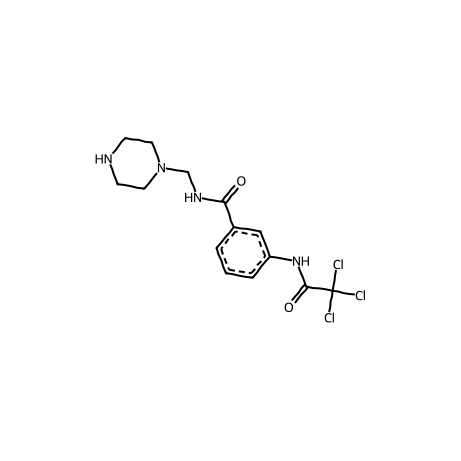 O=C(NCN1CCNCC1)c1cccc(NC(=O)C(Cl)(Cl)Cl)c1